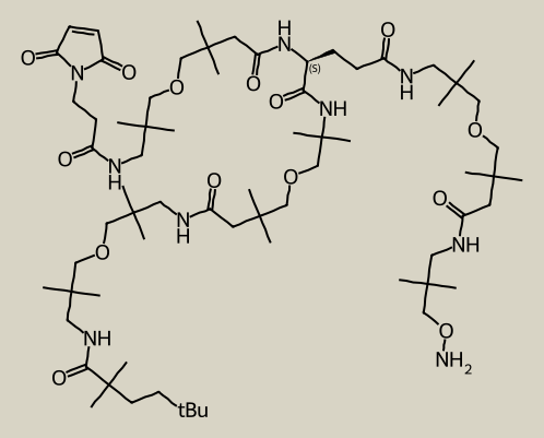 CC(C)(C)CCC(C)(C)C(=O)NCC(C)(C)COCC(C)(C)CNC(=O)CC(C)(C)COCC(C)(C)NC(=O)[C@H](CCC(=O)NCC(C)(C)COCC(C)(C)CC(=O)NCC(C)(C)CON)NC(=O)CC(C)(C)COCC(C)(C)CNC(=O)CCN1C(=O)C=CC1=O